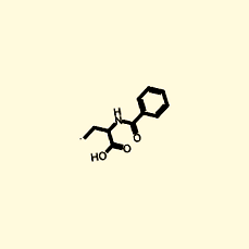 [CH2]CC(NC(=O)c1ccccc1)C(=O)O